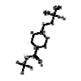 [2H]C([2H])(O)CCN1CCN(C(=O)OC(C)(C)C)CC1